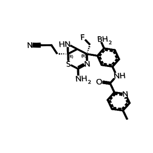 Bc1ccc(NC(=O)c2ccc(C)cn2)cc1[C@@]1(CF)N=C(N)S[C@@]2(CCC#N)NC21